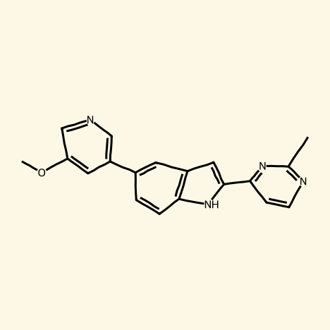 COc1cncc(-c2ccc3[nH]c(-c4ccnc(C)n4)cc3c2)c1